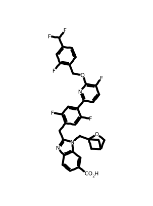 O=C(O)c1ccc2nc(Cc3cc(F)c(-c4ccc(F)c(OCc5ccc(C(F)F)cc5F)n4)cc3F)n(CC34CC(CO3)C4)c2c1